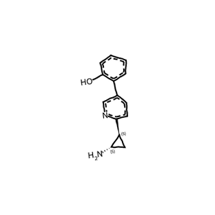 N[C@H]1C[C@@H]1c1ccc(-c2ccccc2O)cn1